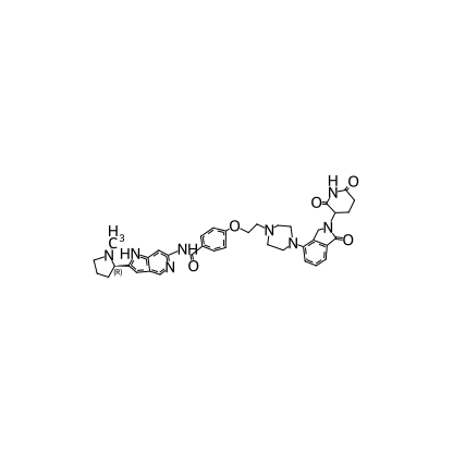 CN1CCC[C@@H]1c1cc2cnc(NC(=O)c3ccc(OCCN4CCN(c5cccc6c5CN(C5CCC(=O)NC5=O)C6=O)CC4)cc3)cc2[nH]1